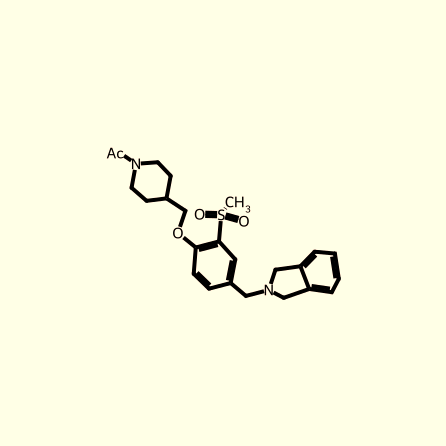 CC(=O)N1CCC(COc2ccc(CN3Cc4ccccc4C3)cc2S(C)(=O)=O)CC1